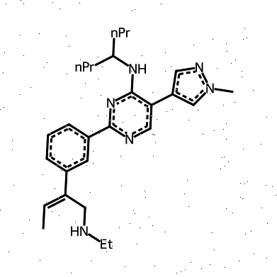 C/C=C(\CNCC)c1cccc(-c2ncc(-c3cnn(C)c3)c(NC(CCC)CCC)n2)c1